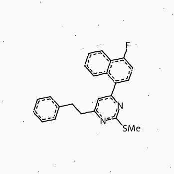 CSc1nc(CCc2ccccc2)cc(-c2ccc(F)c3ccccc23)n1